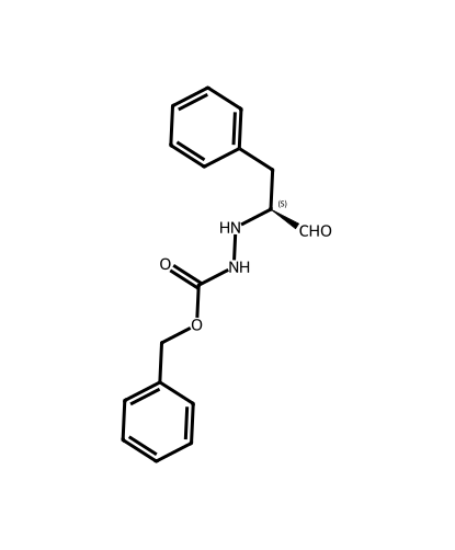 O=C[C@H](Cc1ccccc1)NNC(=O)OCc1ccccc1